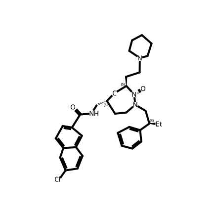 CC[C@H](CN1CC[C@H](CNC(=O)c2ccc3cc(Cl)ccc3c2)C[C@@H](CCN2CCCCC2)[N+]1=O)c1ccccc1